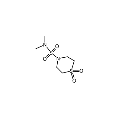 CN(C)S(=O)(=O)N1CCS(=O)(=O)CC1